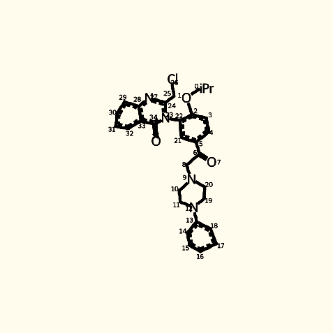 CC(C)Oc1ccc(C(=O)CN2CCN(c3ccccc3)CC2)cc1-n1c(CCl)nc2ccccc2c1=O